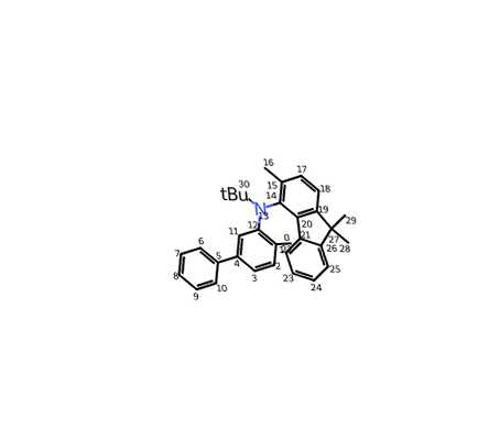 Cc1ccc(-c2ccccc2)cc1N(c1c(C)ccc2c1-c1ccccc1C2(C)C)C(C)(C)C